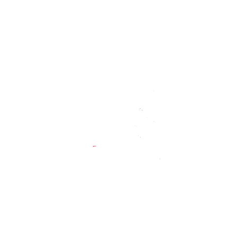 C[C@H](Nc1ncc2c(Br)cc([C@H]3CC[C@H](O)CC3)n2n1)C(F)(F)F